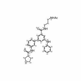 CC(=O)NCCCNC(=O)c1cc(Nc2ccccc2)cc(-c2ccnc(NC(=O)C3CCOC3)c2)c1